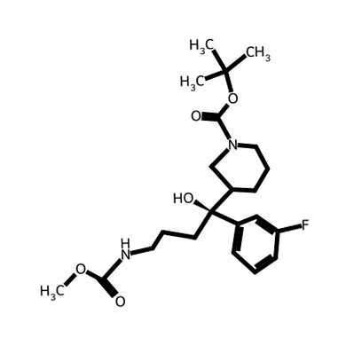 COC(=O)NCCC[C@@](O)(c1cccc(F)c1)C1CCCN(C(=O)OC(C)(C)C)C1